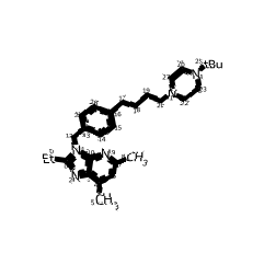 CCc1nc2c(C)cc(C)nc2n1Cc1ccc(CCCCN2CCN(C(C)(C)C)CC2)cc1